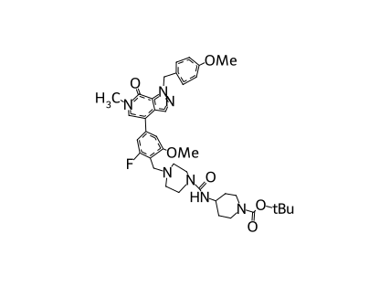 COc1ccc(Cn2ncc3c(-c4cc(F)c(CN5CCN(C(=O)NC6CCN(C(=O)OC(C)(C)C)CC6)CC5)c(OC)c4)cn(C)c(=O)c32)cc1